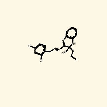 CCCC1(CCF)Nc2ccccc2N=C1N=NCc1ccc(Cl)cc1Cl